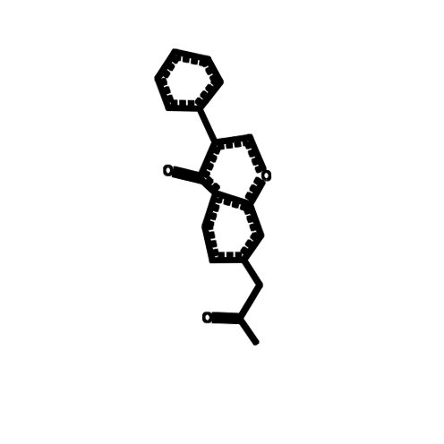 CC(=O)Cc1ccc2c(=O)c(-c3ccccc3)coc2c1